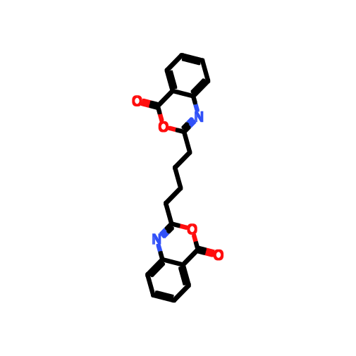 O=c1oc(CCCCc2nc3ccccc3c(=O)o2)nc2ccccc12